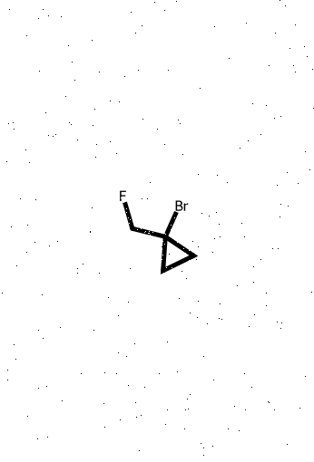 FCC1(Br)CC1